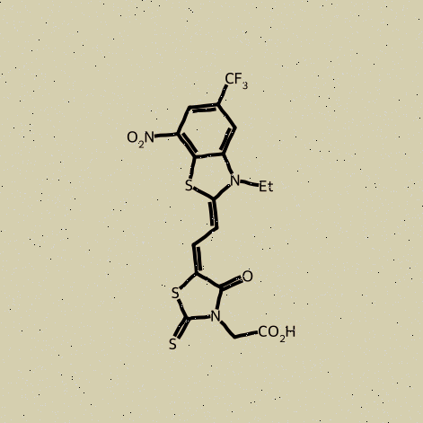 CCN1/C(=C/C=C2/SC(=S)N(CC(=O)O)C2=O)Sc2c1cc(C(F)(F)F)cc2[N+](=O)[O-]